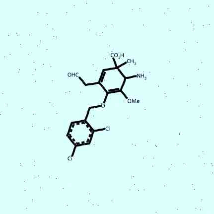 COC1=C(OCc2ccc(Cl)cc2Cl)C(CC=O)=CC(C)(C(=O)O)C1N